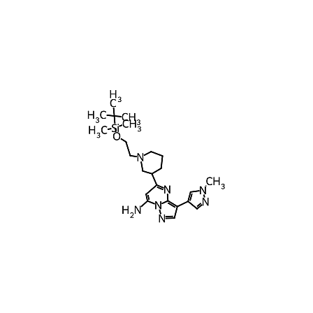 Cn1cc(-c2cnn3c(N)cc(C4CCCN(CCO[Si](C)(C)C(C)(C)C)C4)nc23)cn1